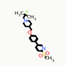 CC(C)(F)CN1CCC(COc2ccc(-c3ccc(S(C)(=O)=O)nc3)cc2)CC1